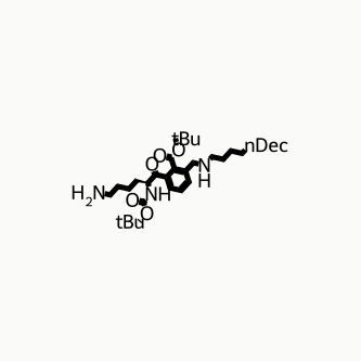 CCCCCCCCCCCCCCNCc1cccc(C(=O)[C@H](CCCCN)NC(=O)OC(C)(C)C)c1C(=O)OC(C)(C)C